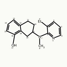 CCc1cccnc1N(C)C1CCc2cccc(O)c2C1